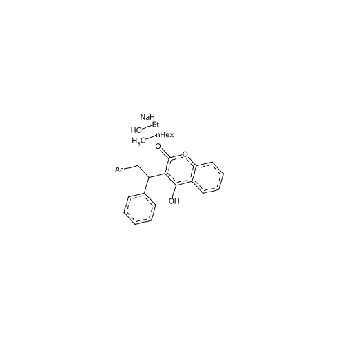 CC(=O)CC(c1ccccc1)c1c(O)c2ccccc2oc1=O.CCCCCCC.CCO.[NaH]